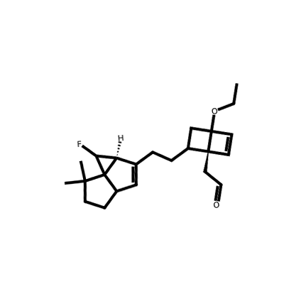 CCOC12C=C[C@]1(CC=O)C(CCC1=CC3CCC(C)(C)C34C(F)[C@@H]14)C2